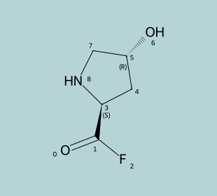 O=C(F)[C@@H]1C[C@@H](O)CN1